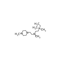 CCC(C)(C)CCN(C)CCN1CCN(C)CC1